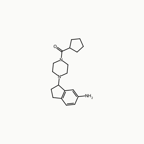 Nc1ccc2c(c1)C(N1CCN(C(=O)C3CCCC3)CC1)CC2